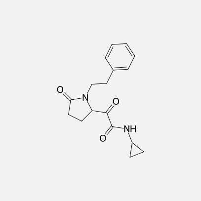 O=C(NC1CC1)C(=O)C1CCC(=O)N1CCc1ccccc1